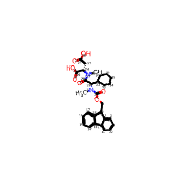 CN(C(=O)OCC1c2ccccc2-c2ccccc21)[C@H](C(=O)N(C)[C@@H](CC(=O)O)C(=O)O)C1CCCCC1